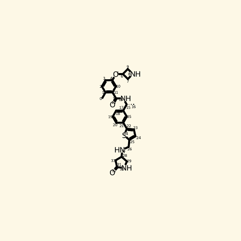 Cc1ccc(OC2CNC2)cc1C(=O)N[C@H](C)c1cccc(-c2ccc(CNC3CNC(=O)C3)s2)c1